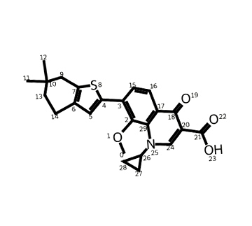 COc1c(-c2cc3c(s2)CC(C)(C)CC3)ccc2c(=O)c(C(=O)O)cn(C3CC3)c12